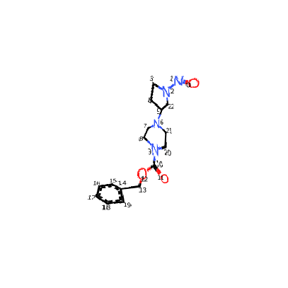 O=NN1CCC(N2CCN(C(=O)OCc3ccccc3)CC2)C1